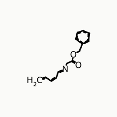 C=C/C=C\C=N\CC(=O)OCc1ccccc1